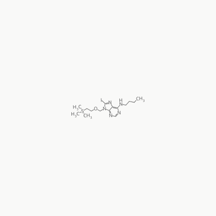 CCCCNc1ncnc2c1nc(I)n2COCCS(C)(C)C